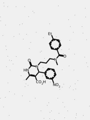 CCc1ccc(C(=O)N(C)CCCN2C(=O)NC(C)=C(C(=O)O)C2c2cccc([N+](=O)[O-])c2)cc1